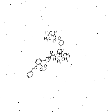 CC(C)NC(=O)O[C@@H]1CC[C@H](c2cc(NC(=O)N3CC=C(c4cccc(OCc5ccccc5)c4C4OCCO4)C3)n(C(C)(C)C)n2)C1